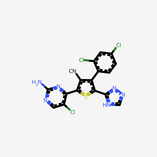 [C-]#[N+]c1c(-c2nc(N)ncc2Cl)sc(-c2nnc[nH]2)c1-c1ccc(Cl)cc1Cl